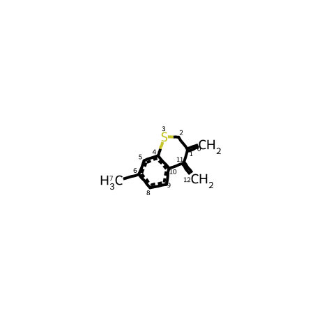 C=C1CSc2cc(C)ccc2C1=C